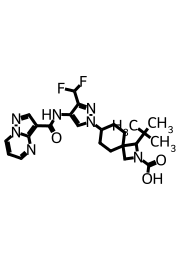 CC(C)(C)C1N(C(=O)O)CC12CCC(n1cc(NC(=O)c3cnn4cccnc34)c(C(F)F)n1)CC2